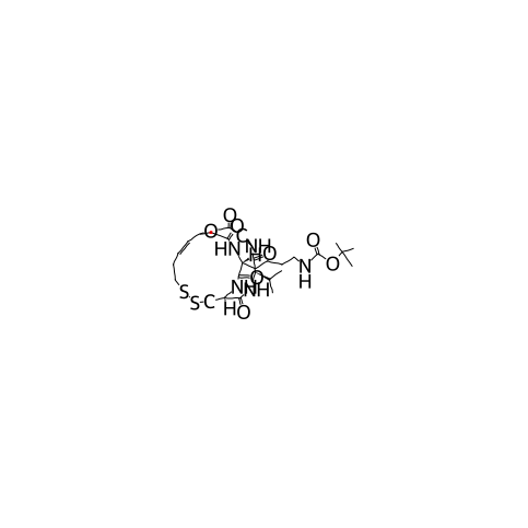 CC(C)[C@H]1NC(=O)[C@H]2CSSCCC=CC(CC(=O)N[C@H](CCCCNC(=O)OC(C)(C)C)C(=O)N2)OC(=O)CNC1=O